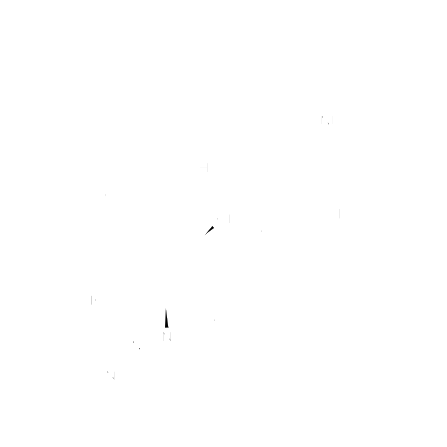 NC(=O)C(Cl)(Cl)Cl.[N-]=[N+]=N[C@H]1C(O)O[C@H](C(O)C(=O)c2ccccc2)[C@@H](O)[C@@]1(O)C(=O)c1ccccc1